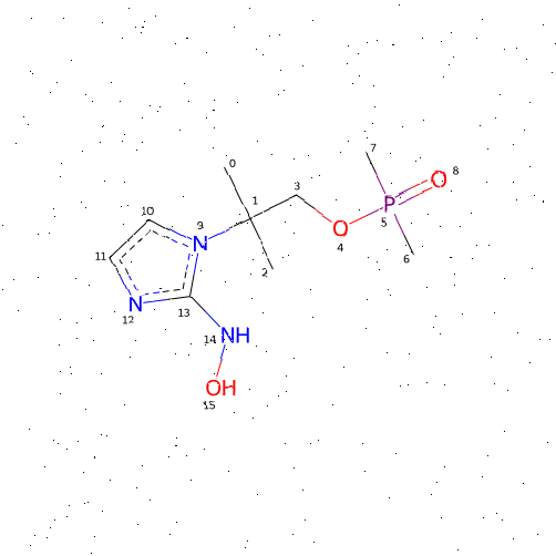 CC(C)(COP(C)(C)=O)n1ccnc1NO